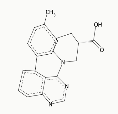 Cc1ccc(-c2cccc3ncnc(N4CCC[C@H](C(=O)O)C4)c23)cc1